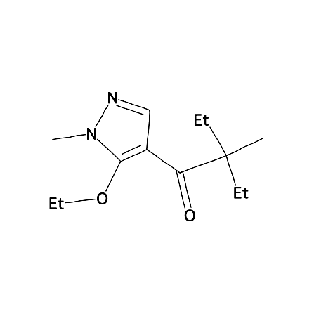 CCOc1c(C(=O)C(C)(CC)CC)cnn1C